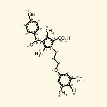 Cc1cc(OCCCn2c(C)c([S+]([O-])c3ccc(C(C)(C)C)cc3)c(C)c2C(=O)O)cc(C)c1Cl